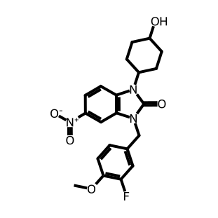 COc1ccc(Cn2c(=O)n(C3CCC(O)CC3)c3ccc([N+](=O)[O-])cc32)cc1F